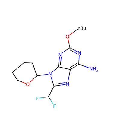 CCCCOc1nc(N)c2nc(C(F)F)n(C3CCCCO3)c2n1